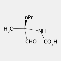 CCC[C@](C)(C=O)NC(=O)O